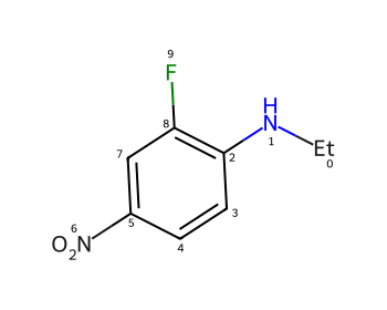 CCNc1ccc([N+](=O)[O-])cc1F